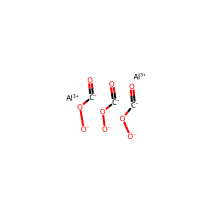 O=[C-]O[O-].O=[C-]O[O-].O=[C-]O[O-].[Al+3].[Al+3]